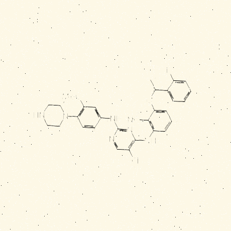 COc1cc(Nc2ncc(Cl)c(Nc3cccc(OC(C)c4ccccc4F)c3C#N)n2)ccc1N1CCNCC1